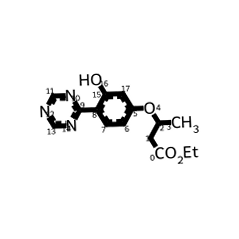 CCOC(=O)CC(C)Oc1ccc(-c2ncncn2)c(O)c1